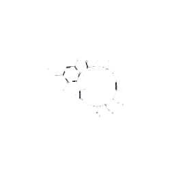 COc1cc(O)c2c(c1C)/C=C/C[C@H](O)[C@H](O)C(O)/C=C\C[C@H](C)OC2=O